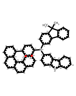 CC1(C)c2ccccc2-c2cc(N(c3ccc(-c4cccc5ccc6ccc7ccccc7c6c45)cc3)c3ccc4oc5ccccc5c4c3)ccc21